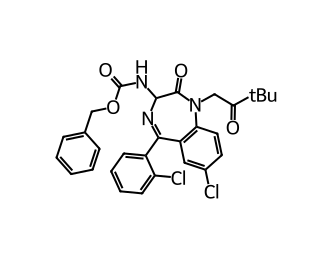 CC(C)(C)C(=O)CN1C(=O)C(NC(=O)OCc2ccccc2)N=C(c2ccccc2Cl)c2cc(Cl)ccc21